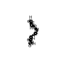 C[C@@H]1CNC(=O)c2cc3ccc(C(=O)Nc4cnn(Cc5ccc(NCc6ccc7c(c6)CN(N6CCC(=O)NC6=O)C7=O)cc5)c4)nc3n21